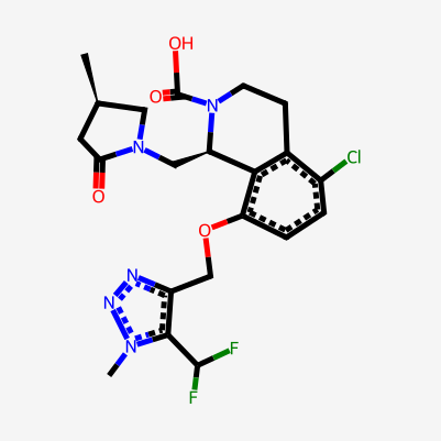 C[C@@H]1CC(=O)N(C[C@@H]2c3c(OCc4nnn(C)c4C(F)F)ccc(Cl)c3CCN2C(=O)O)C1